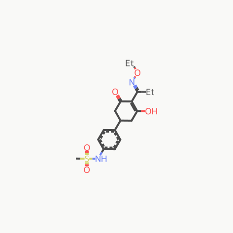 CCON=C(CC)C1=C(O)CC(c2ccc(NS(C)(=O)=O)cc2)CC1=O